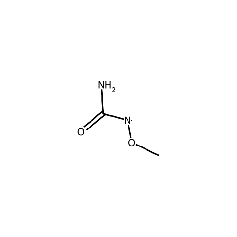 CO[N]C(N)=O